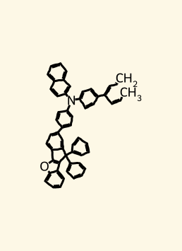 C=C/C=C(\C=C/C)c1ccc(N(c2ccc(-c3ccc4c(c3)C(c3ccccc3)(c3ccccc3)c3c-4oc4ccccc34)cc2)c2ccc3ccccc3c2)cc1